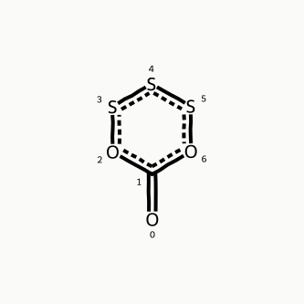 O=c1ossso1